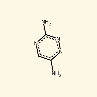 Nc1cnc(N)nn1